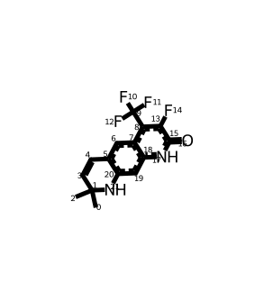 CC1(C)C=Cc2cc3c(C(F)(F)F)c(F)c(=O)[nH]c3cc2N1